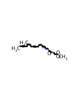 CCC#CC[C@H](C)/C=C/C#CC\C=C/C=C/C=C/[C@@H]1O[C@H]1CCC(=O)OC